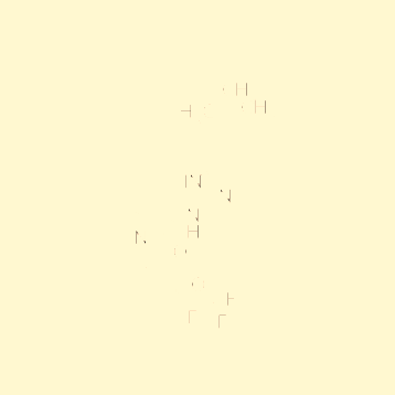 CC(C)(C)c1ccc2nc(Nc3cccnc3Oc3ccccc3OC(F)(F)F)[nH]c2c1